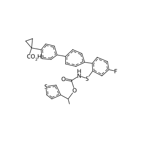 CC(OC(=O)NSc1cc(F)ccc1-c1ccc(-c2ccc(C3(C(=O)O)CC3)cc2)cc1)c1ccsc1